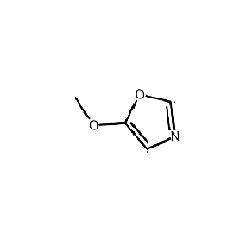 COc1[c]n[c]o1